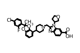 CC1(c2ccc(Cl)cc2F)Oc2cccc(C3CCN(Cc4nc5ccc(C(=O)O)cc5n4C4CCOC4)CC3)c2O1